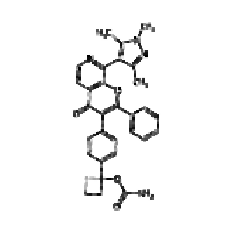 Cc1nn(C)c(C)c1-c1nccc2c(=O)c(-c3ccc(C4(OC(N)=O)CCC4)cc3)c(-c3ccccc3)oc12